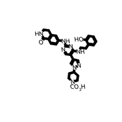 O=C1NCCc2cc(Nc3ncc(-c4cnn(C5CCN(C(=O)O)CC5)c4)c(NCCc4ccccc4O)n3)ccc21